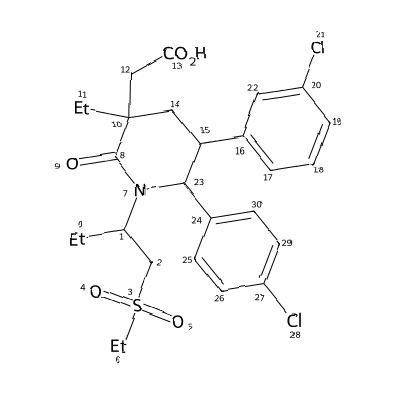 CCC(CS(=O)(=O)CC)N1C(=O)C(CC)(CC(=O)O)CC(c2cccc(Cl)c2)C1c1ccc(Cl)cc1